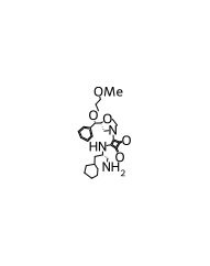 COCCCO[C@@H](c1ccccc1)[C@H]1CN(c2c(N[C@H](CN)CC3CCCCC3)c(=O)c2=O)CCO1